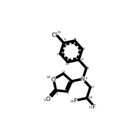 O=C1C=C(N(Cc2ccc(Cl)cc2)CC(F)F)CO1